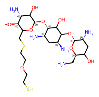 NC[C@H]1O[C@H](OC2C(O)[C@@H](O[C@H]3OC(CSCCOCCS)[C@@H](O)[C@H](N)C3O)[C@H](N)C[C@@H]2N)[C@H](N)CC1O